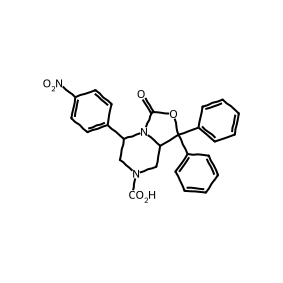 O=C(O)N1CC(c2ccc([N+](=O)[O-])cc2)N2C(=O)OC(c3ccccc3)(c3ccccc3)C2C1